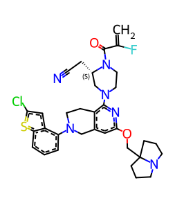 C=C(F)C(=O)N1CCN(c2nc(OCC34CCCN3CCC4)cc3c2CCN(c2cccc4sc(Cl)cc24)C3)C[C@@H]1CC#N